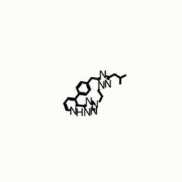 CCCn1nc(CC(C)C)nc1Cc1ccc(-c2cccnc2-c2nnn[nH]2)cc1